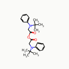 CC(C)(C)N(CC(=O)OC(=O)CN(c1ccccc1)C(C)(C)C)c1ccccc1